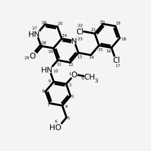 COc1cc(CO)ccc1Nc1cc(Cc2c(Cl)cccc2Cl)nc2cc[nH]c(=O)c12